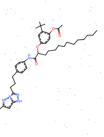 CCCCCCCCCCCCC(Oc1ccc(OC(C)=O)c(C(C)(C)C)c1)C(=O)Nc1ccc(CCCc2n[nH]c3cc(C)nn23)cc1